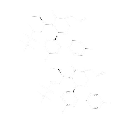 C=CC[C@@]1(C)C[C@H](c2cccc(Cl)c2)[C@@H](c2ccc(Cl)cc2)N([C@H](CC)CN(C)S(=O)(=O)C(C)(C)C)C1=O.C=CC[C@@]1(C)C[C@H](c2cccc(Cl)c2)[C@@H](c2ccc(Cl)cc2)N([C@H](CC)CNS(=O)(=O)C(C)(C)C)C1=O